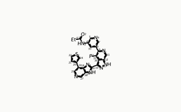 CCC(=O)Nc1cncc(-c2ncc3[nH]nc(-c4nc5c(-c6ccsc6)cncc5[nH]4)c3c2F)c1